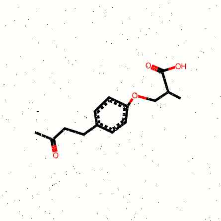 CC(=O)CCc1ccc(OCC(C)C(=O)O)cc1